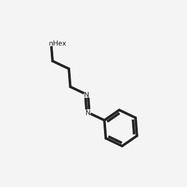 CCCCCCCCCN=Nc1ccccc1